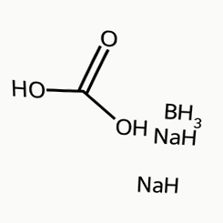 B.O=C(O)O.[NaH].[NaH]